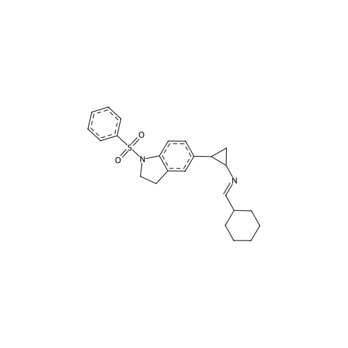 O=S(=O)(c1ccccc1)N1CCc2cc(C3CC3N=CC3CCCCC3)ccc21